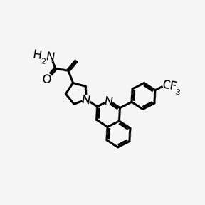 C=C(C(N)=O)C1CCN(c2cc3ccccc3c(-c3ccc(C(F)(F)F)cc3)n2)C1